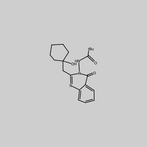 CC(C)(C)C(=O)Nn1c(CC2(O)CCCCC2)nc2ccccc2c1=O